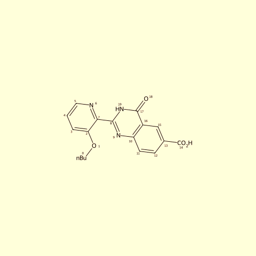 CCCCOc1cccnc1-c1nc2ccc(C(=O)O)cc2c(=O)[nH]1